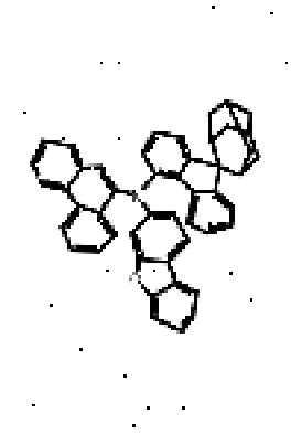 c1ccc2c(c1)-c1c(N(c3ccc4c(c3)oc3ccccc34)c3cc4ccccc4c4ccccc34)cccc1C21C2CC3CC(C2)CC1C3